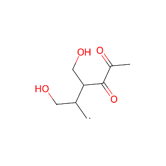 [CH2]C(CO)C(CO)C(=O)C(C)=O